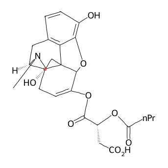 CCCC(=O)O[C@H](CC(=O)O)C(=O)OC1=CC[C@@]2(O)[C@H]3Cc4ccc(O)c5c4C2(CCN3C)C1O5